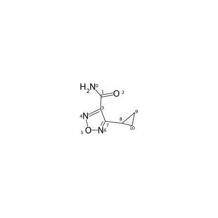 NC(=O)c1nonc1C1CC1